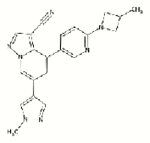 CC1CN(c2ccc(-c3cc(-c4cnn(C)c4)cn4ncc(C#N)c34)cn2)C1